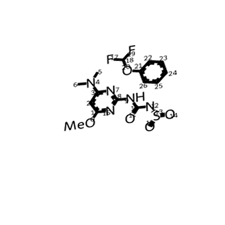 COc1cc(N(C)C)nc(NC(=O)N=S(=O)=O)n1.FC(F)Oc1ccccc1